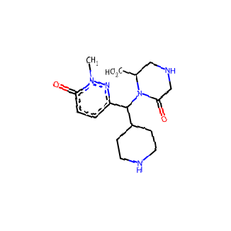 Cn1nc(C(C2CCNCC2)N2C(=O)CNCC2C(=O)O)ccc1=O